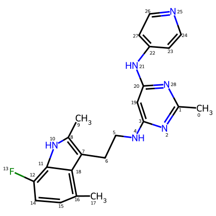 Cc1nc(NCCc2c(C)[nH]c3c(F)ccc(C)c23)cc(Nc2ccncc2)n1